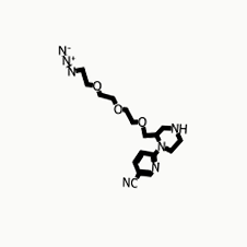 N#Cc1ccc(N2CCNCC2COCCOCCOCCN=[N+]=[N-])nc1